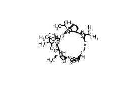 C=C[C@@H]1C[C@@]12NC(=O)[C@@H]1C[C@H](CN1C(=O)[C@@H](C)C(C)(C)C)Oc1nc3c(cccc3n1C(C)C)-c1nc(C(C)C)c(s1)CCCC[C@@H]1C[C@@H]1S(=O)(=O)NC2=O